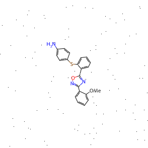 COc1ccccc1-c1noc(-c2ccccc2Sc2ccc(N)cc2)n1